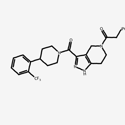 CC(C)CC(=O)N1CCc2[nH]nc(C(=O)N3CCC(c4ccccc4C(F)(F)F)CC3)c2C1